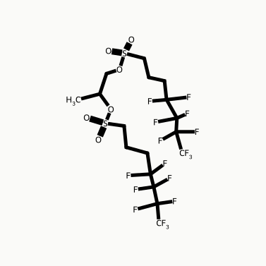 CC(COS(=O)(=O)CCCC(F)(F)C(F)(F)C(F)(F)C(F)(F)F)OS(=O)(=O)CCCC(F)(F)C(F)(F)C(F)(F)C(F)(F)F